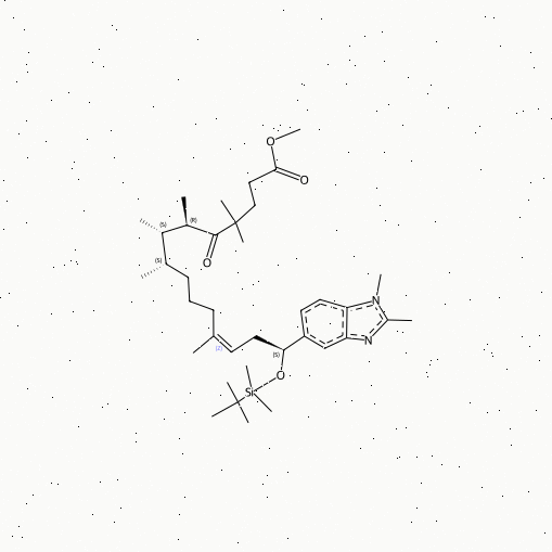 COC(=O)CCC(C)(C)C(=O)[C@H](C)[C@@H](C)[C@@H](C)CCC/C(C)=C\C[C@H](O[Si](C)(C)C(C)(C)C)c1ccc2c(c1)nc(C)n2C